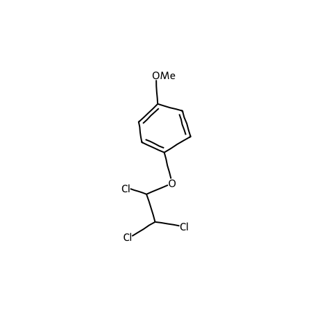 COc1ccc(OC(Cl)C(Cl)Cl)cc1